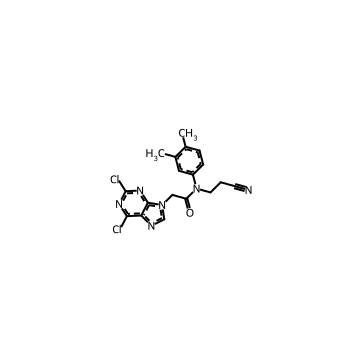 Cc1ccc(N(CCC#N)C(=O)Cn2cnc3c(Cl)nc(Cl)nc32)cc1C